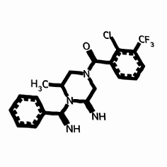 CC1CN(C(=O)c2cccc(C(F)(F)F)c2Cl)CC(=N)N1C(=N)c1ccccc1